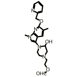 Cc1cc2c(N3CCN(CCOC=O)CC3O)cn(C)c2nc1OCc1ccccn1